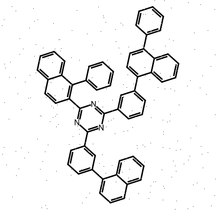 c1ccc(-c2c(-c3nc(-c4cccc(-c5cccc6ccccc56)c4)nc(-c4cccc(-c5ccc(-c6ccccc6)c6ccccc56)c4)n3)ccc3ccccc23)cc1